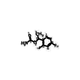 CC(OC(N)=O)c1ncc(F)cc1F